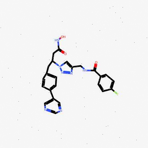 O=C(CC(Cc1ccc(-c2cncnc2)cc1)n1cc(CNC(=O)c2ccc(F)cc2)nn1)NO